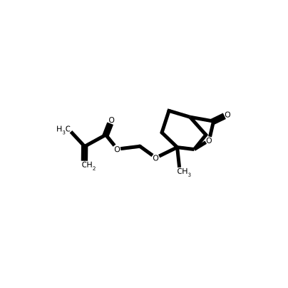 C=C(C)C(=O)OCOC1(C)CCC2CC1OC2=O